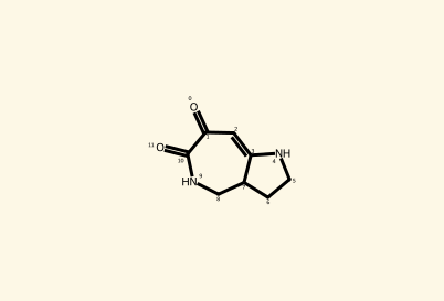 O=C1C=C2NCCC2CNC1=O